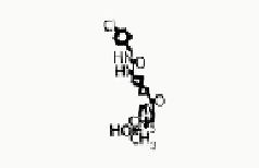 CC(C)(O)CN1CCN(C(=O)C2CC3(CC(NC(=O)NCc4ccc(Cl)cc4)C3)C2)CC1